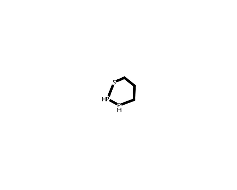 C1CPPSC1